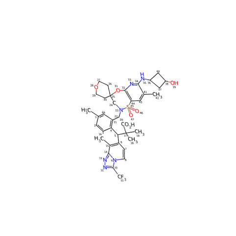 Cc1ccc(C(c2ccn3c(C(F)(F)F)nnc3c2C)C(C)(C)C(=O)O)c(CN2CC3(CCOCC3)Oc3nc(NC4CC(O)C4)c(C)cc3S2(=O)=O)c1